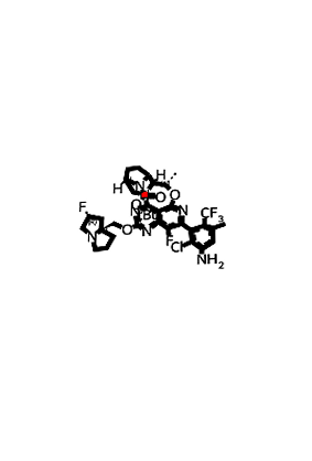 Cc1cc(N)c(Cl)c(-c2nc3c4c(nc(OC[C@@]56CCCN5C[C@H](F)C6)nc4c2F)N2C[C@H]4CCC([C@H]2[C@H](C)O3)N4C(=O)OC(C)(C)C)c1C(F)(F)F